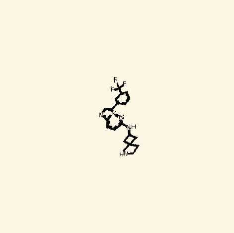 FC(F)(F)c1cccc(-c2cnc3ccc(NC4CC5(CCNC5)C4)nn23)c1